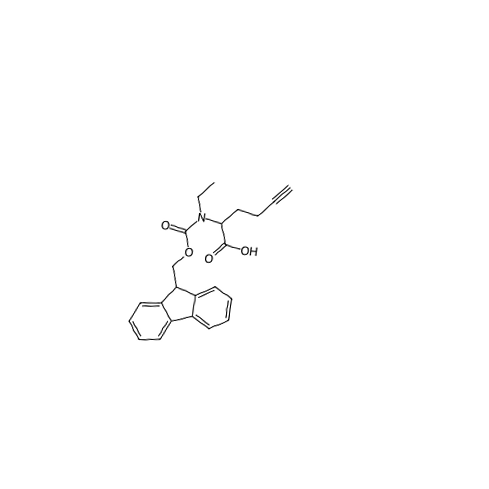 C#CCCC(C(=O)O)N(CC)C(=O)OCC1c2ccccc2-c2ccccc21